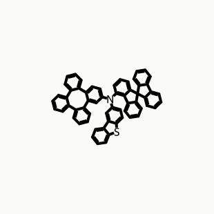 c1ccc2c(c1)-c1ccccc1-c1ccc(N(c3ccc4sc5ccccc5c4c3)c3cccc4c3-c3ccccc3C43c4ccccc4-c4ccccc43)cc1-c1ccccc1-2